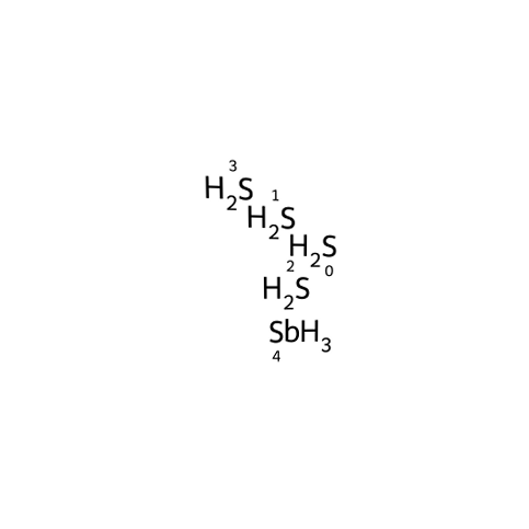 S.S.S.S.[SbH3]